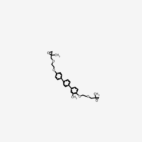 Cc1cc(-c2ccc(-c3ccc(OCCOCC4(C)CO4)cc3)cc2)ccc1OCCOCC1(C)CO1